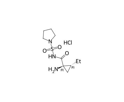 CC[C@@H]1C[C@]1(N)C(=O)NS(=O)(=O)N1CCCC1.Cl